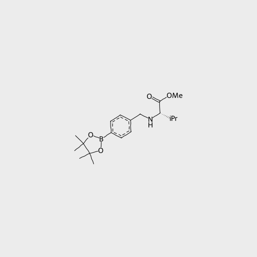 COC(=O)[C@@H](NCc1ccc(B2OC(C)(C)C(C)(C)O2)cc1)C(C)C